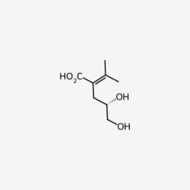 CC(C)=C(C[C@H](O)CO)C(=O)O